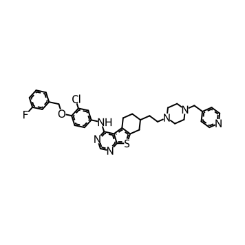 Fc1cccc(COc2ccc(Nc3ncnc4sc5c(c34)CCC(CCN3CCN(Cc4ccncc4)CC3)C5)cc2Cl)c1